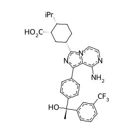 CC(C)[C@@H]1CC[C@H](c2nc(-c3ccc([C@@](C)(O)c4cccc(C(F)(F)F)c4)cc3)c3c(N)nccn23)C[C@@H]1C(=O)O